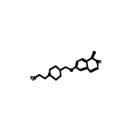 O=c1[nH]ccc2cc(OCC3CCN(CCC(F)(F)F)CC3)ccc12